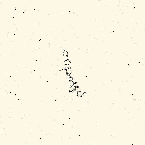 C=C/N=C(\N=C(/C)n1cc(NC(=O)N[C@H](O)c2cccc(Cl)c2)cn1)Nc1ccc(N2CCN(C)CC2)cc1